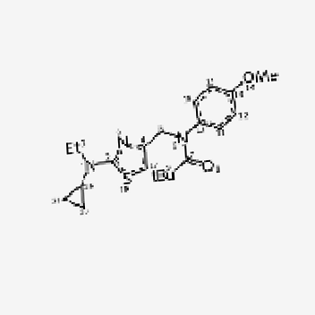 CCN(c1nc(CN(C(=O)C(C)(C)C)c2ccc(OC)cc2)cs1)C1CC1